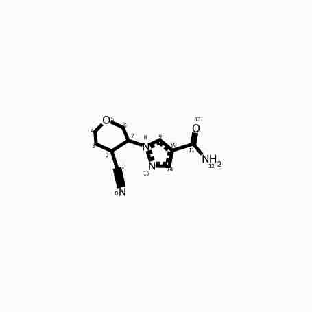 N#CC1CCOCC1n1cc(C(N)=O)cn1